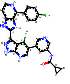 O=C(Nc1cncc(-c2cnc3[nH]nc(-c4nc5c(-c6ccc(F)cc6)nccc5[nH]4)c3c2F)c1)C1CC1